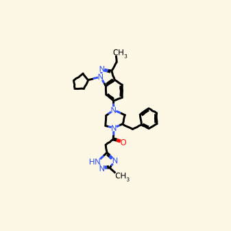 CCc1nn(C2CCCC2)c2cc(N3CCN(C(=O)Cc4nc(C)n[nH]4)C(Cc4ccccc4)C3)ccc12